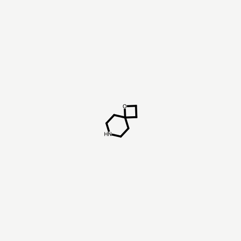 C1CC2(CCN1)CCO2